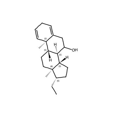 CC[C@H]1CC[C@H]2[C@@H]3C(O)CC4=CCC=C[C@]4(C)[C@H]3CC[C@]12C